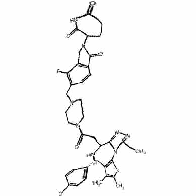 Cc1sc2c(c1C)[C@H](c1ccc(Cl)cc1)NC(CC(=O)N1CCN(Cc3ccc4c(c3F)CN(C3CCC(=O)NC3=O)C4=O)CC1)c1nnc(C)n1-2